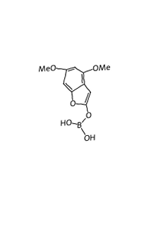 COc1cc(OC)c2cc(OB(O)O)oc2c1